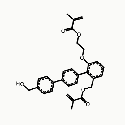 C=C(C)C(=O)OCCOc1cccc(COC(=O)C(=C)C)c1-c1ccc(-c2ccc(CO)cc2)cc1